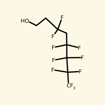 OCCC(F)(F)CC(F)(F)C(F)(F)C(F)(F)C(F)(F)F